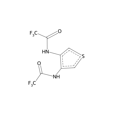 O=C(Nc1cscc1NC(=O)C(F)(F)F)C(F)(F)F